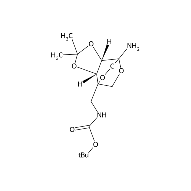 CC(C)(C)OC(=O)NCC12COC(N)(CO1)[C@H]1OC(C)(C)O[C@H]12